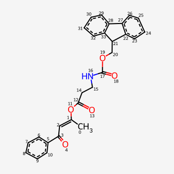 C/C(=C\C(=O)c1ccccc1)OC(=O)CCNC(=O)OCC1c2ccccc2-c2ccccc21